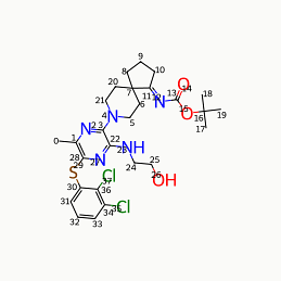 Cc1nc(N2CCC3(CCCC3=NC(=O)OC(C)(C)C)CC2)c(NCCO)nc1Sc1cccc(Cl)c1Cl